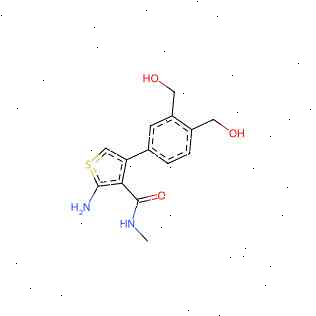 CNC(=O)c1c(-c2ccc(CO)c(CO)c2)csc1N